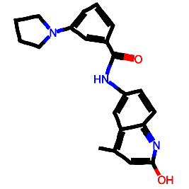 Cc1cc(O)nc2ccc(NC(=O)c3cccc(N4CCCC4)c3)cc12